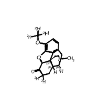 [2H]C([2H])([2H])Oc1ccc2c3c1OC1C(=O)C([2H])([2H])C[C@@H]4[C@@]31CCN(C)[C@]4([2H])C2